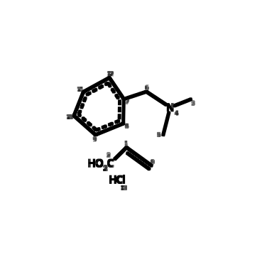 C=CC(=O)O.CN(C)Cc1ccccc1.Cl